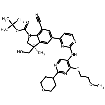 COCCOc1nc(C2CCOCC2)ncc1Nc1nccc(-c2cc(C#N)c3c(c2)[C@@](C)(CO)CN3C(=O)OC(C)(C)C)n1